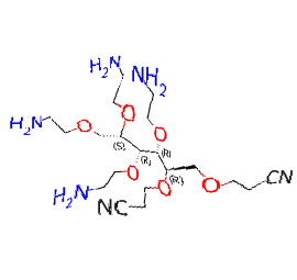 N#CCCOC[C@@H](OCCC#N)[C@@H](OCCN)[C@H](OCCN)[C@H](COCCN)OCCN